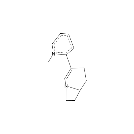 C[n+]1ccccc1C1=CN2CCC2CC1